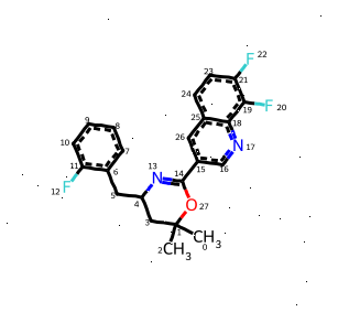 CC1(C)CC(Cc2ccccc2F)N=C(c2cnc3c(F)c(F)ccc3c2)O1